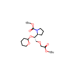 CC(C)(C)OC(=O)COC[C@H](OC1CCCCO1)[C@@H]1CCCN1C(=O)OC(C)(C)C